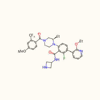 CCOc1ncccc1-c1ccc(N2CCN(C(=O)c3ccc(OC)cc3C(F)(F)F)C[C@H]2CC)c(C(=O)NC2CNC2)c1F